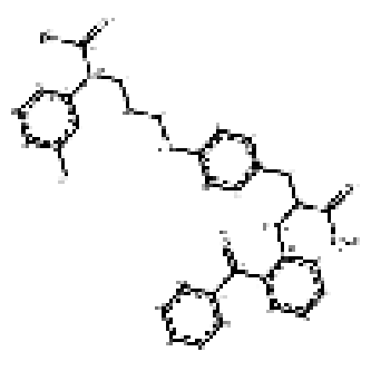 COC(=O)C(Cc1ccc(OCCCN(C(=O)C(C)C)c2cccc(C)c2)cc1)Nc1ccccc1C(=O)c1ccccc1